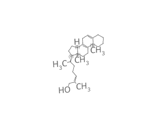 CC(=CCCC(C)[C@H]1CC[C@H]2C3=C(CC[C@]12C)[C@@]1(C)CCCCC1=CC3)CO